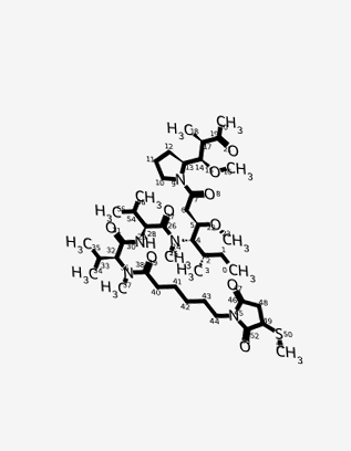 CC[C@H](C)[C@@H]([C@@H](CC(=O)N1CCC[C@H]1[C@H](OC)[C@@H](C)C(C)=O)OC)N(C)C(=O)[C@@H](NC(=O)[C@H](C(C)C)N(C)C(=O)CCCCCN1C(=O)CC(SC)C1=O)C(C)C